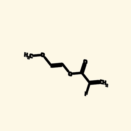 C=C(F)C(=O)OC=COC